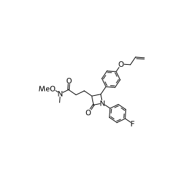 C=CCOc1ccc(C2C(CCC(=O)N(C)OC)C(=O)N2c2ccc(F)cc2)cc1